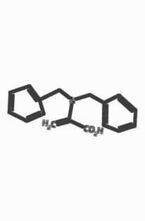 C=C(C(=O)O)N(Cc1ccccc1)Cc1ccccc1